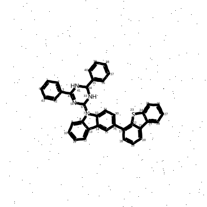 c1ccc(C2=NC(n3c4ccccc4c4cc(-c5cccc6c5sc5ccccc56)ccc43)NC(c3ccccc3)N2)cc1